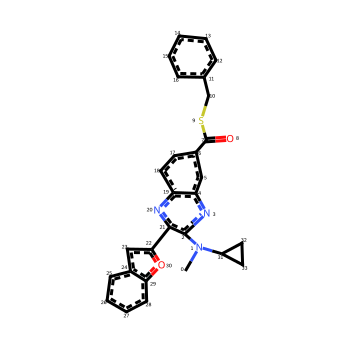 CN(c1nc2cc(C(=O)SCc3ccccc3)ccc2nc1-c1cc2ccccc2o1)C1CC1